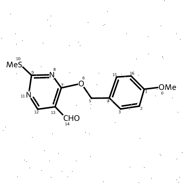 COc1ccc(COc2nc(SC)ncc2C=O)cc1